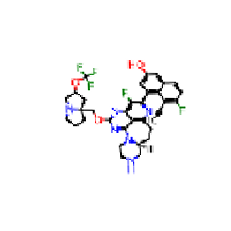 C#Cc1c(F)ccc2cc(O)cc(-c3nc4c5c(nc(OCC67CCCN6C[C@@H](OC(F)(F)F)C7)nc5c3F)N3CCNC[C@H]3CC4)c12